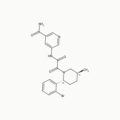 C[C@H]1CC[C@H](c2ccccc2Br)N(C(=O)C(=O)Nc2cncc(C(N)=O)c2)C1